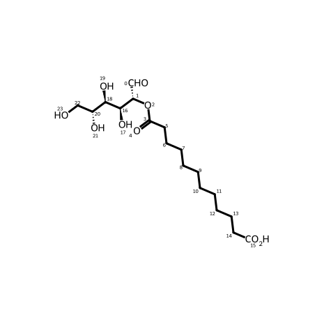 O=C[C@H](OC(=O)CCCCCCCCCCC(=O)O)[C@@H](O)[C@H](O)[C@H](O)CO